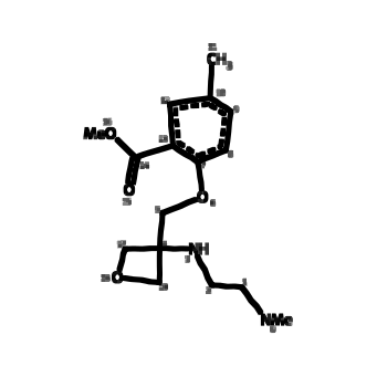 CNCCNC1(COc2ccc(C)cc2C(=O)OC)COC1